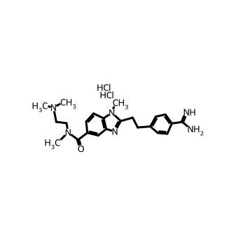 CN(C)CCN(C)C(=O)c1ccc2c(c1)nc(CCc1ccc(C(=N)N)cc1)n2C.Cl.Cl